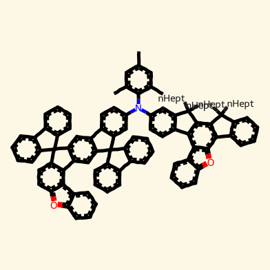 CCCCCCCC1(CCCCCCC)c2ccccc2-c2c1c1c(c3c2oc2ccccc23)-c2ccc(N(c3ccc4c(c3)C3(c5ccccc5-c5ccccc53)c3cc5c(cc3-4)C3(c4ccccc4-c4ccccc43)c3ccc4oc6ccccc6c4c3-5)c3c(C)cc(C)cc3C)cc2C1(CCCCCCC)CCCCCCC